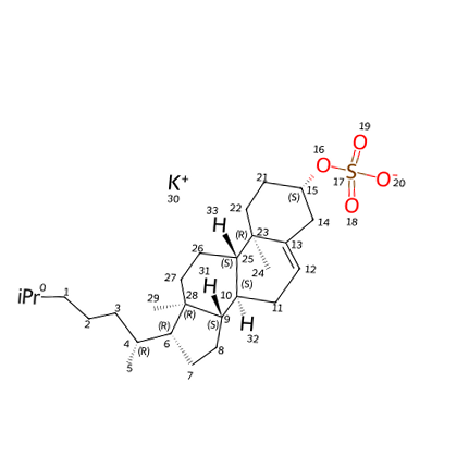 CC(C)CCC[C@@H](C)[C@H]1CC[C@H]2[C@@H]3CC=C4C[C@@H](OS(=O)(=O)[O-])CC[C@]4(C)[C@H]3CC[C@]12C.[K+]